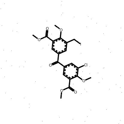 COC(=O)c1cc(C(=O)c2cc(CI)c(OC)c(C(=O)OC)c2)cc(Cl)c1OC